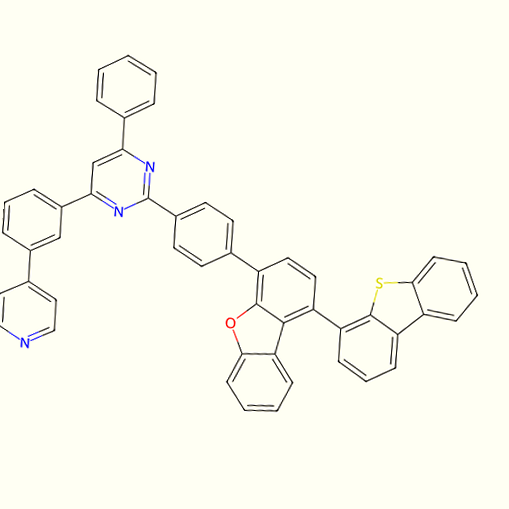 c1ccc(-c2cc(-c3cccc(-c4ccncc4)c3)nc(-c3ccc(-c4ccc(-c5cccc6c5sc5ccccc56)c5c4oc4ccccc45)cc3)n2)cc1